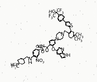 CC1(C)CCC(CN2CCN(c3ccc(C(=O)NS(=O)(=O)c4ccc(NCC5CCC(C)(O)CC5)c([N+](=O)[O-])c4)c(Oc4cnc5[nH]ccc5c4)c3)CC2)=C(c2cc(-c3ccc(C(O)(C(F)(F)F)C(F)(F)F)cc3)cs2)C1